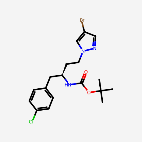 CC(C)(C)OC(=O)N[C@H](CCn1cc(Br)cn1)Cc1ccc(Cl)cc1